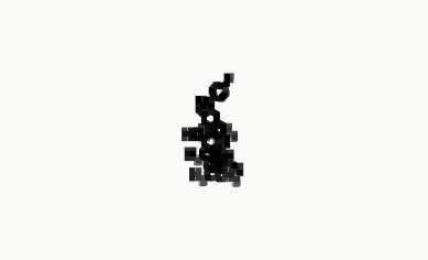 CC1(C)O[C@@H]2C[C@H]3[C@@H]4CCC5=Cc6c(cnn6-c6ccc(F)cc6)C[C@]5(C)[C@H]4[C@@H](O)C[C@]3(C)[C@]2(C(=S)CC#N)O1